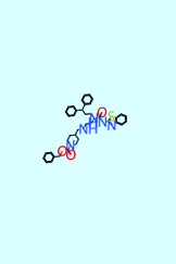 O=C(Nc1nc2ccccc2s1)N(CCNCC1CCN(C(=O)OCc2ccccc2)CC1)CCC(c1ccccc1)c1ccccc1